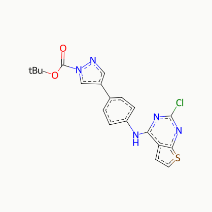 CC(C)(C)OC(=O)n1cc(-c2ccc(Nc3nc(Cl)nc4sccc34)cc2)cn1